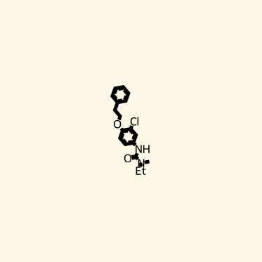 CCN(C)C(=O)Nc1ccc(OCCc2ccccc2)c(Cl)c1